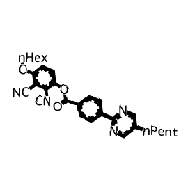 CCCCCCOc1ccc(OC(=O)c2ccc(-c3ncc(CCCCC)cn3)cc2)c(C#N)c1C#N